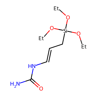 CCO[Si](CC=CNC(N)=O)(OCC)OCC